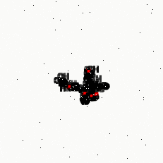 CC(C)(C)OC(=O)Nc1nc(C(=NOC(COc2ccc(C(=N)NC3CCN(C(=O)O)C3)cc2)C(=O)OC(c2ccccc2)c2ccccc2)C(=O)NC2C(=O)N(OS(=O)(=O)O)C2(C)C)c(C(F)(F)F)s1